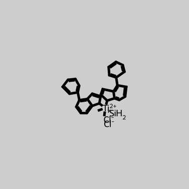 [CH3][Ti+2]([CH3])(=[SiH2])([CH]1C=Cc2c(-c3ccccc3)cccc21)[CH]1C=Cc2c(-c3ccccc3)cccc21.[Cl-].[Cl-]